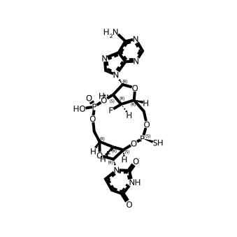 Nc1ncnc2c1ncn2[C@@H]1O[C@@H]2CO[P@@](S)O[C@@H]3[C@H](F)[C@@H](COP(=O)(O)O[C@@H]1[C@@H]2F)O[C@H]3n1ccc(=O)[nH]c1=O